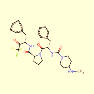 CNC1CCN(C(=O)N[C@@H](Cc2ccccc2)C(=O)N2CCC[C@H]2C(=O)N[C@@H](Cc2ccccc2)C(=O)C(F)(F)F)CC1